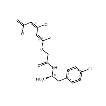 C=C(Cl)/C=C(Cl)\C=C(/C)OCC(=O)N[C@@H](Cc1ccc(Cl)cc1)C(=O)O